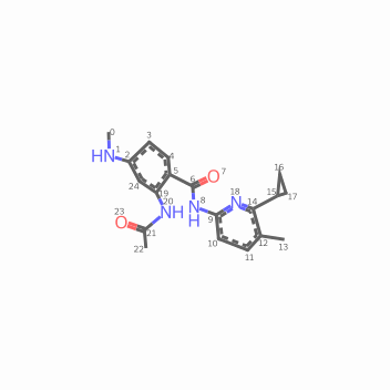 CNc1ccc(C(=O)Nc2ccc(C)c(C3CC3)n2)c(NC(C)=O)c1